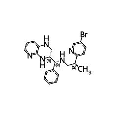 C[C@@H](CN[C@H](c1ccccc1)[C@H]1CNc2cccnc2N1)c1ccc(Br)cn1